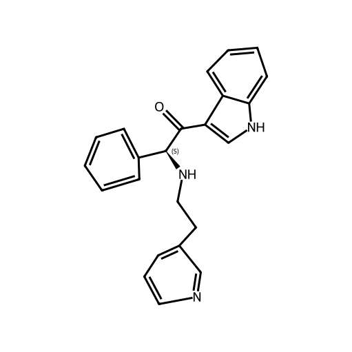 O=C(c1c[nH]c2ccccc12)[C@@H](NCCc1cccnc1)c1ccccc1